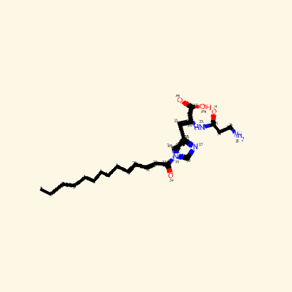 CCCCCCCCCCCCCC(=O)n1cnc(CC(NC(=O)CCN)C(=O)O)c1